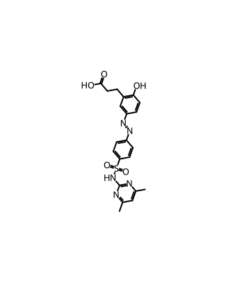 Cc1cc(C)nc(NS(=O)(=O)c2ccc(/N=N/c3ccc(O)c(CCC(=O)O)c3)cc2)n1